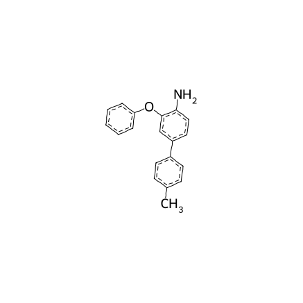 Cc1ccc(-c2ccc(N)c(Oc3ccccc3)c2)cc1